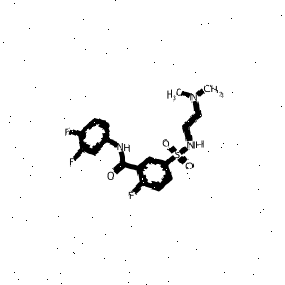 CN(C)CCNS(=O)(=O)c1ccc(F)c(C(=O)Nc2ccc(F)c(F)c2)c1